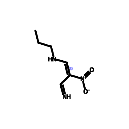 CCCN/C=C(\C=N)[N+](=O)[O-]